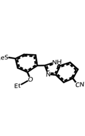 CCOc1cc(SC)ccc1-c1nc2cc(C#N)ccc2[nH]1